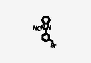 N#Cn1c(-c2cccc(CBr)c2)nc2ccccc21